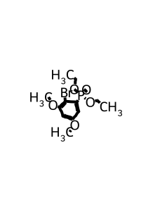 CCOP(=O)(OCC)c1cc(OC)cc(OC)c1Br